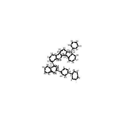 c1ccc(-c2ccc(-c3nc(-c4cccc5c4sc4c5ccc5c4c4ccccc4n5-c4ccccc4)c4ccccc4n3)cc2)cc1